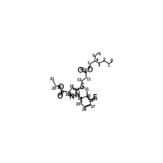 CCCCC(CC)COC(=O)CCSc1cc(C(=O)OCC)nn1-c1cccc(F)c1C